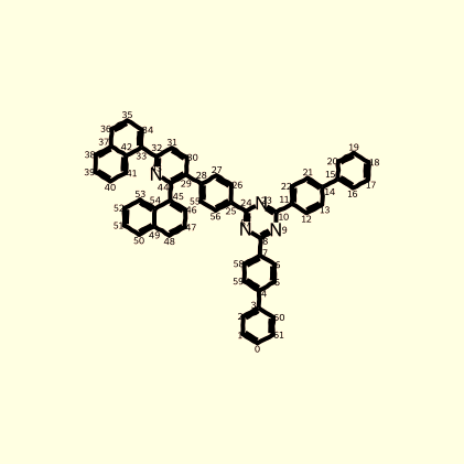 c1ccc(-c2ccc(-c3nc(-c4ccc(-c5ccccc5)cc4)nc(-c4ccc(-c5ccc(-c6cccc7ccccc67)nc5-c5cccc6ccccc56)cc4)n3)cc2)cc1